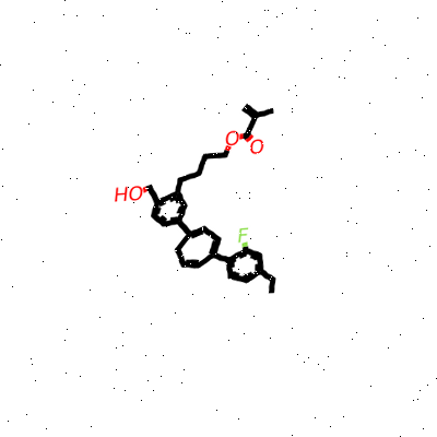 C=C(C)C(=O)OCCCCc1cc(C2=CC=C(c3ccc(CC)cc3F)C=CC2)ccc1CO